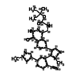 Cn1cc(-c2ccc(C#N)c(-c3c(-c4ccc5c(=O)[nH]nc(CNC(=O)OC(C)(C)C)c5c4)cnn3C)c2)cn1